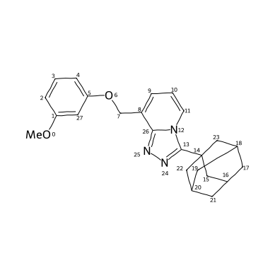 COc1cccc(OCc2cccn3c(C45CC6CC(CC(C6)C4)C5)nnc23)c1